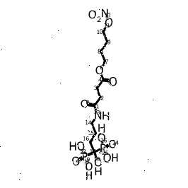 O=C(CCC(=O)OCCCCO[N+](=O)[O-])NCCCC(O)(P(=O)(O)O)P(=O)(O)O